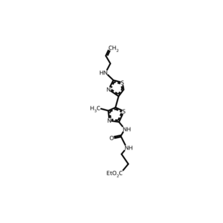 C=CCNc1nc(-c2sc(NC(=O)NCCC(=O)OCC)nc2C)cs1